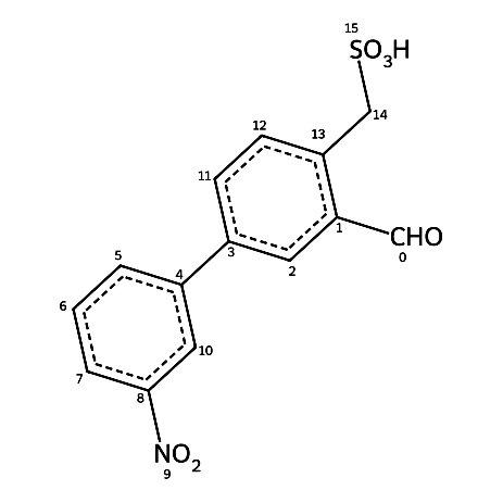 O=Cc1cc(-c2cccc([N+](=O)[O-])c2)ccc1CS(=O)(=O)O